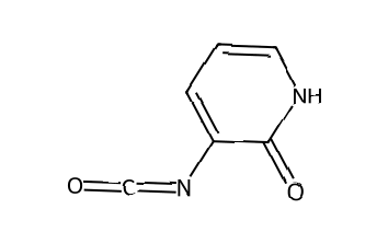 O=C=Nc1ccc[nH]c1=O